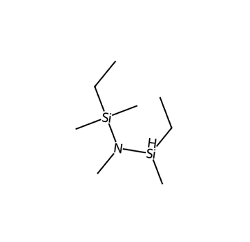 CC[SiH](C)N(C)[Si](C)(C)CC